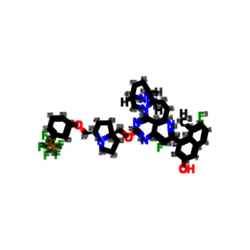 Cc1c(F)ccc2cc(O)cc(-c3nc4c5c(nc(OC[C@@]67CCCN6[C@H](COc6cccc(S(F)(F)(F)(F)F)c6)CC7)nc5c3F)N3C[C@@H]5CC[C@@H](N5)[C@H]3CC4)c12